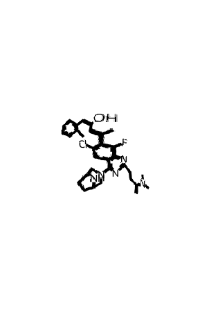 C=C(CCc1nc(N2CC3CCC(C2)N3)c2cc(Cl)c(/C(C)=C/C(O)=C\c3ccccc3C)c(F)c2n1)N(C)C